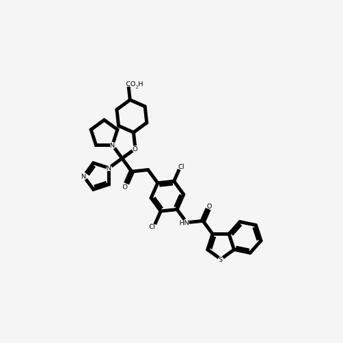 O=C(Nc1cc(Cl)c(CC(=O)C(OC2CCC(C(=O)O)CC2)(N2CCCC2)n2ccnc2)cc1Cl)c1csc2ccccc12